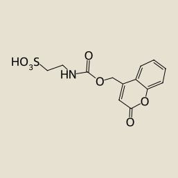 O=C(NCCS(=O)(=O)O)OCc1cc(=O)oc2ccccc12